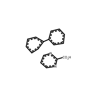 O=C(O)c1ncccn1.c1ccc(-c2ccccc2)cc1